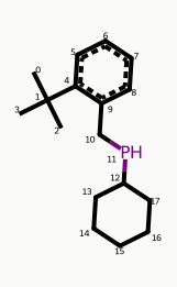 CC(C)(C)c1ccccc1CPC1CCCCC1